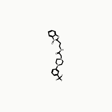 O=C(CN1CCN(c2cccc(C(F)(F)F)c2)CC1)NCCc1sc2ccccc2[n+]1[O-]